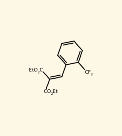 CCOC(=O)C(=Cc1ccccc1C(F)(F)F)C(=O)OCC